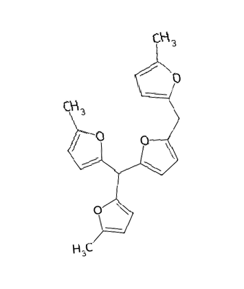 Cc1ccc(Cc2ccc(C(c3ccc(C)o3)c3ccc(C)o3)o2)o1